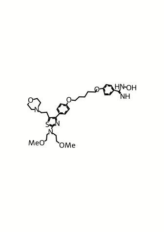 COCCN(CCOC)c1nc(-c2ccc(OCCCCCOc3ccc(C(=N)NO)cc3)cc2)c(CCN2CCOCC2)s1